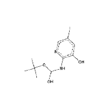 CC(C)(C)OC(O)Nc1ncc(I)cc1O